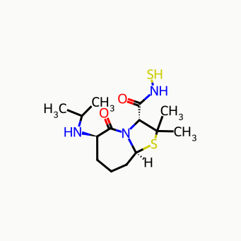 CC(C)N[C@@H]1CCC[C@@H]2SC(C)(C)[C@@H](C(=O)NS)N2C1=O